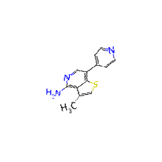 Cc1csc2c(-c3ccncc3)cnc(N)c12